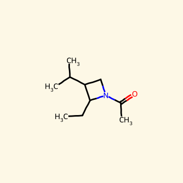 CCC1C(C(C)C)CN1C(C)=O